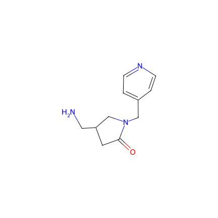 NCC1CC(=O)N(Cc2ccncc2)C1